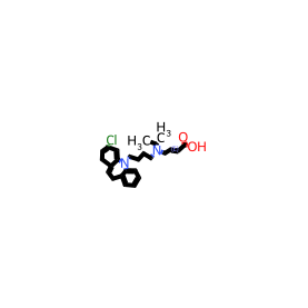 CC(C)N(C/C=C/C(=O)O)CCCCN1C2=CC(Cl)=CCC2=CCc2ccccc21